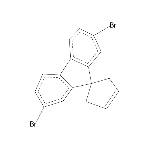 Brc1ccc2c(c1)C1(CC=CC1)c1cc(Br)ccc1-2